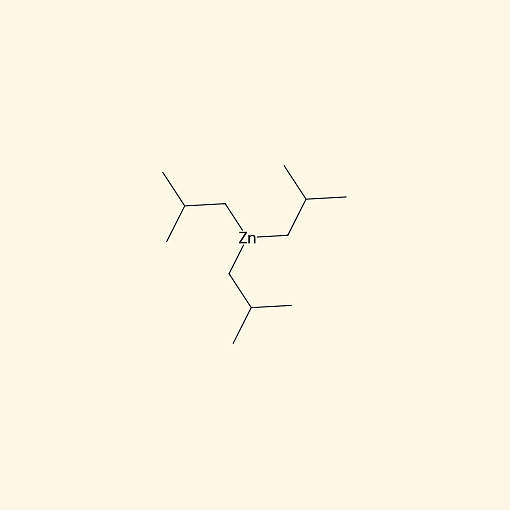 CC(C)[CH2][Zn]([CH2]C(C)C)[CH2]C(C)C